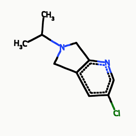 CC(C)N1Cc2cc(Cl)cnc2C1